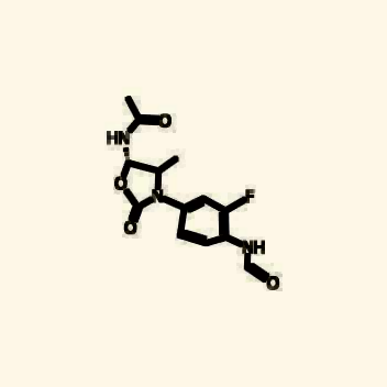 CC(=O)N[C@H]1OC(=O)N(c2ccc(NC=O)c(F)c2)C1C